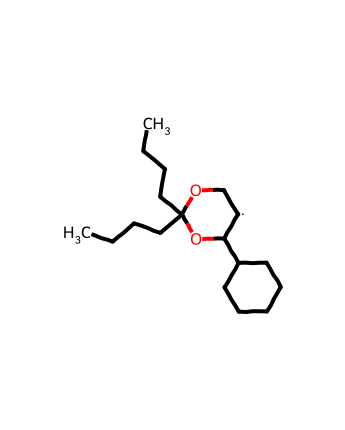 CCCCC1(CCCC)OC[CH]C(C2CCCCC2)O1